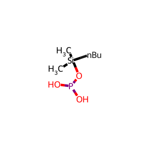 CCCC[Si](C)(C)OP(O)O